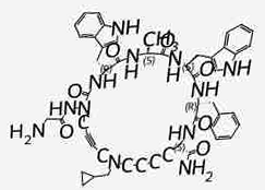 C[C@@H]1NC(=O)[C@@H](Cc2c[nH]c3ccccc23)NC(=O)N(NC(=O)CN)CC#CCN(CC2CC2)CCCC[C@@H](C(N)=O)NC(=O)[C@@H](Cc2ccccc2)NC(=O)[C@H](Cc2c[nH]c3ccccc23)NC1=O